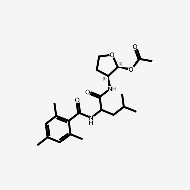 CC(=O)O[C@@H]1OCC[C@@H]1NC(=O)C(CC(C)C)NC(=O)c1c(C)cc(C)cc1C